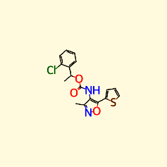 Cc1noc(-c2cccs2)c1NC(=O)OC(C)c1ccccc1Cl